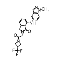 Cn1ncc2cc(Nc3cccc4c3C(=O)N(CC(=O)N3CC(C(F)(F)F)C3)C4)ccc21